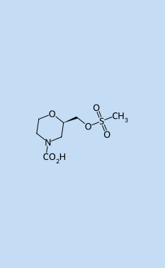 CS(=O)(=O)OC[C@H]1CN(C(=O)O)CCO1